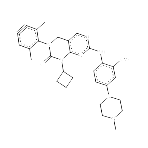 COc1cc(N2CCN(C)CC2)ccc1Nc1ncc2c(n1)N(C1CCC1)C(=O)N(c1c(C)c#ccc1C)C2